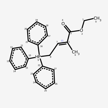 CCOC(=O)/C(C)=C/C[PH](c1ccccc1)(c1ccccc1)c1ccccc1